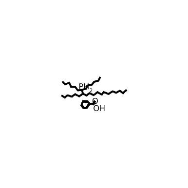 CCCCCCCCCCCCC(CCCCCC)C(P)(CCCCCC)CCCCCC.O=C(O)c1ccccc1